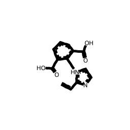 C=Cc1ncc[nH]1.Cc1c(C(=O)O)cccc1C(=O)O